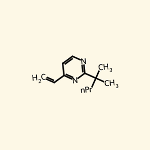 C=Cc1ccnc(C(C)(C)CCC)n1